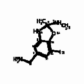 CNC1(C)Nc2cc(CN)cc(I)c2O1